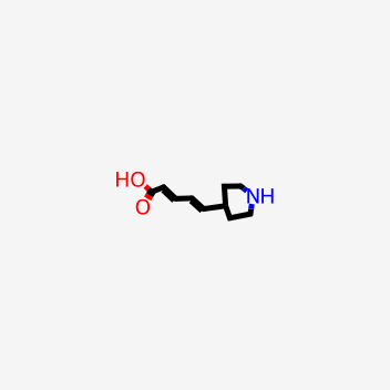 O=C(O)C=CC=CC1CCNCC1